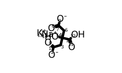 O=C([O-])CC(O)(CC(=O)[O-])C(=O)O.[K+].[Na+]